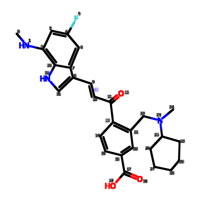 CNc1cc(F)cc2c(/C=C/C(=O)c3ccc(C(=O)O)cc3CN(C)C3CCCCC3)c[nH]c12